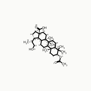 CC(=O)O[C@H]1CC[C@@]2(C)C(CC[C@]3(C)C2CCC2C4[C@H]([C@@H](C)CO)CC[C@]4(C(=O)O)CC[C@]23C)C1(C)C